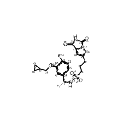 C[C@@H](NS(=O)(=O)CCCc1cc2n(n1)C(=O)NC2=O)c1ccc(F)c(OCC2CC2)c1